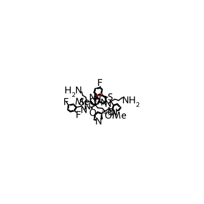 COC(CC[C@@](OC)(C(=O)N1N=C(c2cc(F)ccc2F)SC1(CCCN)c1cccnc1)c1cccnc1)(C(=O)N1N=C(c2cc(F)ccc2F)SC1(CCCN)c1ccccn1)c1ccccn1